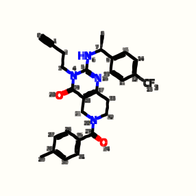 C#CCCn1c(N[C@@H](C)c2ccc(C(F)(F)F)cc2)nc2c(c1=O)CN(C(=O)c1ccc(C)cc1)CC2